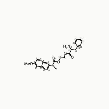 COc1ccc2cc(C(C)C(=O)OCCOC(=O)[C@@H](N)Cc3ccccc3)ccc2c1